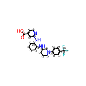 O=C(O)c1ccnc(N[C@@H]2CCCC[C@H]2NC2CCCN(c3ccc(C(F)(F)F)cc3)C2)c1